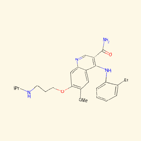 CCc1ccccc1Nc1c(C(N)=O)cnc2cc(OCCCNC(C)C)c(OC)cc12